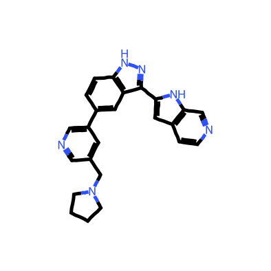 c1cc2cc(-c3n[nH]c4ccc(-c5cncc(CN6CCCC6)c5)cc34)[nH]c2cn1